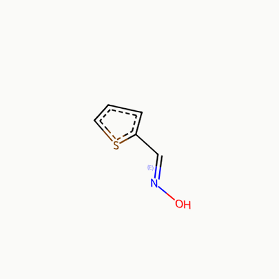 O/N=C/c1cccs1